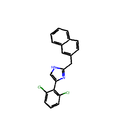 Clc1cccc(Cl)c1-c1c[nH]c(Cc2ccc3ccccc3c2)n1